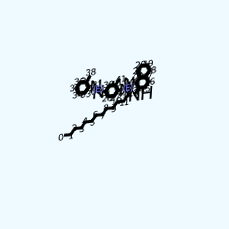 CCCCCCCCCCCCCNc1ccc2ccccc2c1/N=N/c1ccc(/N=N/c2ccccc2C)cc1C